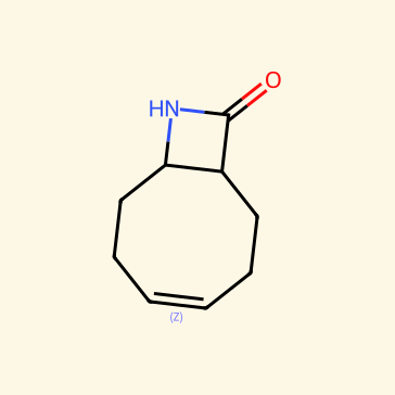 O=C1NC2CC/C=C\CCC12